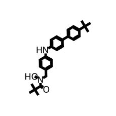 CC(C)(C)C(=O)N(O)Cc1ccc(Nc2ccc(-c3ccc(C(C)(C)C)cc3)cc2)cc1